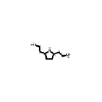 OCCC1CCC(CCO)[N]1